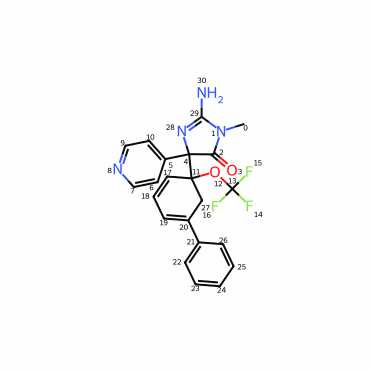 CN1C(=O)C(c2ccncc2)(C2(OC(F)(F)F)C=CC=C(c3ccccc3)C2)N=C1N